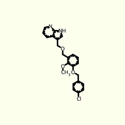 COc1c(COCc2c[nH]c3ncccc23)cccc1OCc1ccc(Cl)cc1